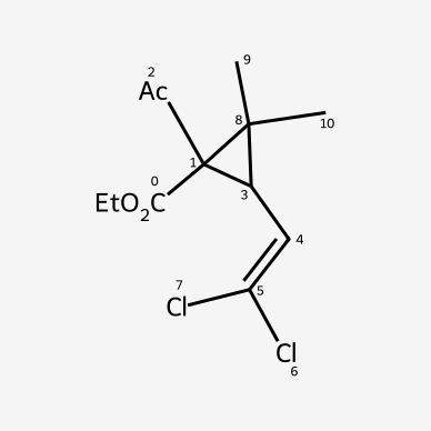 CCOC(=O)C1(C(C)=O)C(C=C(Cl)Cl)C1(C)C